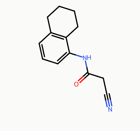 N#CCC(=O)Nc1cccc2c1CCCC2